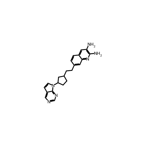 Nc1cc2ccc(CCC3CCC(n4ccc5cncnc54)C3)cc2nc1N